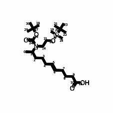 CC(CCCC=CCCCC(=O)O)N(CCO[Si](C)(C)C(C)(C)C)C(=O)OC(C)(C)C